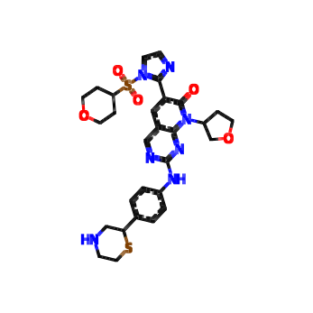 O=c1c(-c2nccn2S(=O)(=O)C2CCOCC2)cc2cnc(Nc3ccc(C4CNCCS4)cc3)nc2n1C1CCOC1